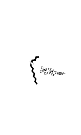 CCCCCCC[CH2][Zn][CH2]CCC.[O-]P([O-])([O-])=S.[O-]P([O-])([O-])=S.[Zn+2].[Zn+2].[Zn+2]